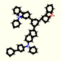 c1ccc(-c2ccc(N(c3ccccc3)c3ccc4cc(-c5cc(-c6ccc7oc8ccccc8c7c6)cc(-c6ccc7c8ccccc8n(-c8ccccc8)c7c6)c5)ccc4c3)cc2)cc1